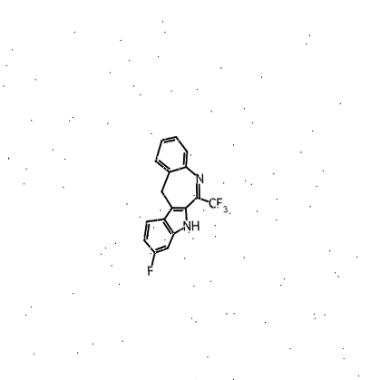 Fc1ccc2c3c([nH]c2c1)C(C(F)(F)F)=Nc1ccccc1C3